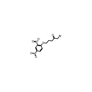 O=C(CBr)CCCSc1ccc([N+](=O)[O-])cc1[N+](=O)[O-]